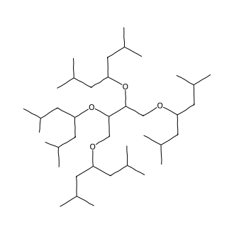 CC(C)CC(CC(C)C)OCC(OC(CC(C)C)CC(C)C)C(COC(CC(C)C)CC(C)C)OC(CC(C)C)CC(C)C